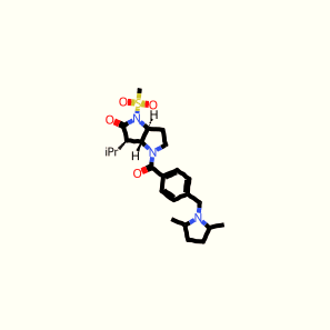 CC(C)[C@H]1C(=O)N(S(C)(=O)=O)[C@H]2CCN(C(=O)c3ccc(CN4C(C)CCC4C)cc3)[C@H]12